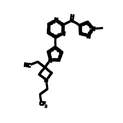 Cn1cc(Nc2nccc(-c3ccn(C4(CC#N)CN(CCC(F)(F)F)C4)c3)n2)cn1